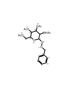 CC(=O)NC1C(OOCc2ccccc2)OC(COC(C)=O)C(OC(C)=O)C1OC(C)=O